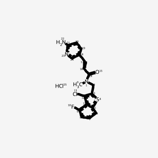 CN(Cc1sc2cccc(F)c2c1Cl)C(=O)/C=C/c1ccc(N)nc1.Cl